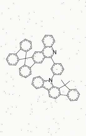 CC1(C)c2ccccc2-c2ccc3c4ccccc4n(-c4cccc(-c5nc6ccccc6c6cc7c(cc56)-c5ccccc5C75c6ccccc6-c6ccccc65)c4)c3c21